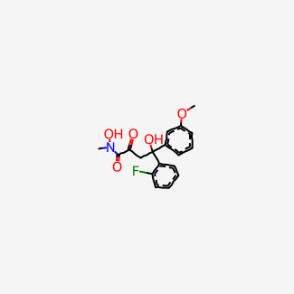 COc1cccc(C(O)(CC(=O)C(=O)N(C)O)c2ccccc2F)c1